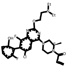 C=CC(=O)N1CCN(c2nc(OCCN(CC)CC)nc3c(F)c(-c4c(O)cccc4F)c(Cl)cc23)C[C@H]1C